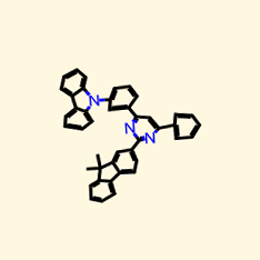 CC1(C)c2ccccc2-c2ccc(-c3nc(-c4ccccc4)cc(-c4cccc(-n5c6ccccc6c6ccccc65)c4)n3)cc21